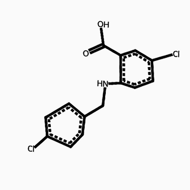 O=C(O)c1cc(Cl)ccc1NCc1ccc(Cl)cc1